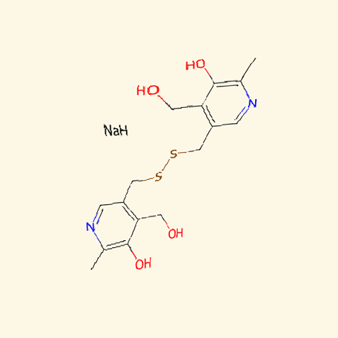 Cc1ncc(CSSCc2cnc(C)c(O)c2CO)c(CO)c1O.[NaH]